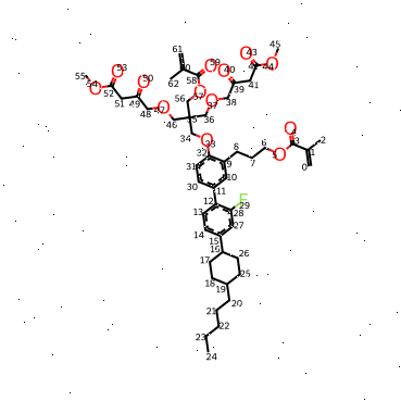 C=C(C)C(=O)OCCCc1cc(-c2ccc(C3CCC(CCCCC)CC3)cc2F)ccc1OCC(COCC(=O)CC(=O)OC)(COCC(=O)CC(=O)OC)COC(=O)C(=C)C